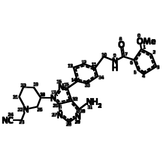 COc1ccccc1C(=O)NCc1ccc(-c2nn(C3CCCN(CC#N)C3)c3ncnc(N)c23)cc1